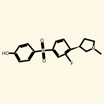 CN1CC[C@H](c2ccc(S(=O)(=O)c3ccc(O)cc3)cc2F)C1